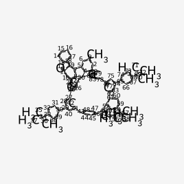 Cc1ccc2c(c1)-c1c(ccc3oc4ccccc4c13)C21c2cccc(c2)-c2cc(-c3ccc(C(C)(C)C)cc3)cc(c2)-c2ccc(cc2)C(C)(C)c2cc(C(C)(C)C)ccc2-c2cc(-c3ccc(C(C)(C)C)cc3)cc(c2)-c2cccc1c2